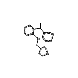 CC(c1ccccc1)c1ccccc1NCc1ccncc1